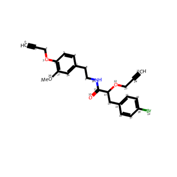 C#CCOc1ccc(CCNC(=O)C(Cc2ccc(Br)cc2)OCC#C)cc1OC